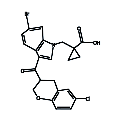 O=C(c1cn(CC2(C(=O)O)CC2)c2cc(Br)ccc12)C1COc2ccc(Cl)cc2C1